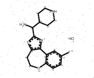 Cl.NC(c1nc2c(s1)CCOc1ccc(F)cc1-2)C1CCNCC1